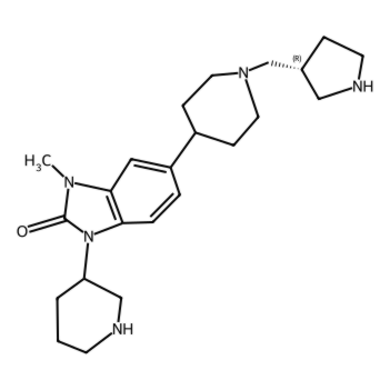 Cn1c(=O)n(C2CCCNC2)c2ccc(C3CCN(C[C@@H]4CCNC4)CC3)cc21